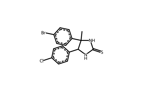 CC1(c2ccc(Br)cc2)NC(=S)NC1c1ccc(Cl)cc1